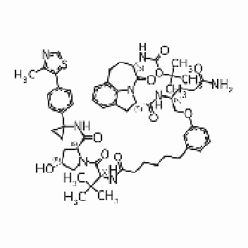 Cc1ncsc1-c1ccc(C2(NC(=O)[C@@H]3C[C@@H](O)CN3C(=O)[C@@H](NC(=O)CCCCCc3cccc(OC[C@H](CCC(N)=O)NC(=O)[C@@H]4Cc5cccc6c5N4C(=O)[C@@H](NC(=O)OC(C)(C)C)CC6)c3)C(C)(C)C)CC2)cc1